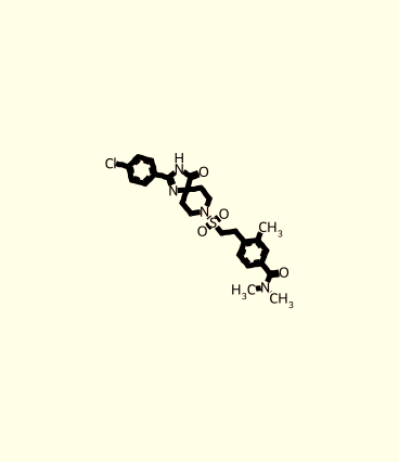 Cc1cc(C(=O)N(C)C)ccc1CCS(=O)(=O)N1CCC2(CC1)N=C(c1ccc(Cl)cc1)NC2=O